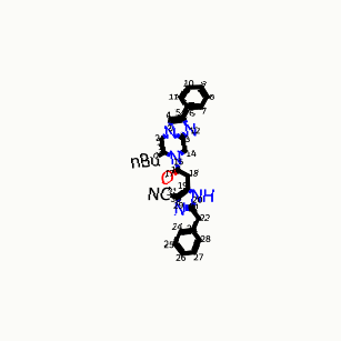 CCCCC1Cn2cc(-c3ccccc3)nc2CN1C(=O)Cc1[nH]c(Cc2ccccc2)nc1C#N